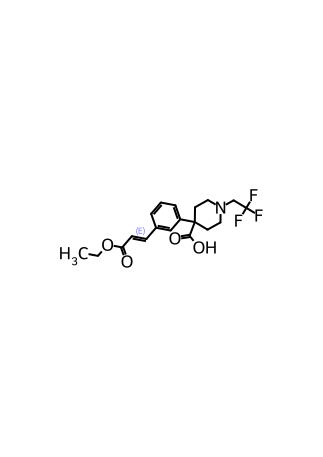 CCOC(=O)/C=C/c1cccc(C2(C(=O)O)CCN(CC(F)(F)F)CC2)c1